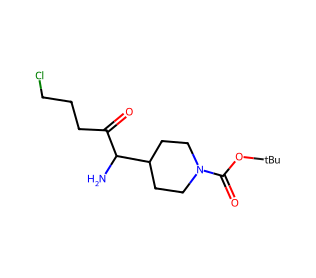 CC(C)(C)OC(=O)N1CCC(C(N)C(=O)CCCCl)CC1